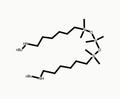 CCCCNCCCCCC[Si](C)(C)O[Si](C)(C)O[Si](C)(C)CCCCCCNCCCC